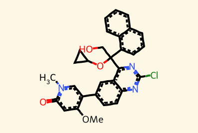 COc1cc(=O)n(C)cc1-c1ccc2nc(Cl)nc(C(CO)(OC3CC3)c3cccc4ccccc34)c2c1